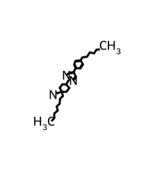 CCCCCCCCC1(C#N)CCC(c2ncc(-c3ccc(CCCCCCC)cc3)cn2)CC1